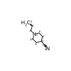 C=CCN1CCC(C#N)CC1